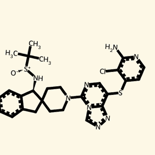 CC(C)(C)[S@@+]([O-])N[C@@H]1c2ccccc2CC12CCN(c1ncc(Sc3ccnc(N)c3Cl)c3nncn13)CC2